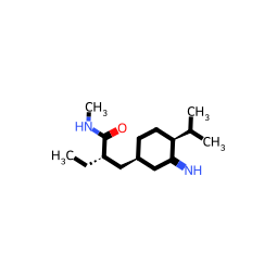 CC[C@@H](C[C@H]1CC[C@@H](C(C)C)C(=N)C1)C(=O)NC